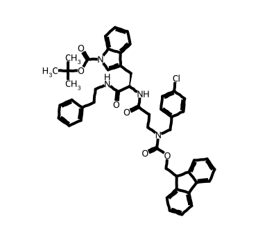 CC(C)(C)OC(=O)n1cc(C[C@@H](NC(=O)CCN(Cc2ccc(Cl)cc2)C(=O)OCC2c3ccccc3-c3ccccc32)C(=O)NCCc2ccccc2)c2ccccc21